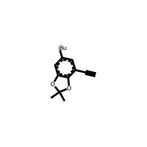 C#Cc1cc(C(C)CC)cc2c1OC(C)(C)O2